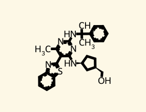 Cc1nc(NC(C)(C)c2ccccc2)nc(N[C@H]2CC[C@@H](CO)C2)c1-c1nc2ccccc2s1